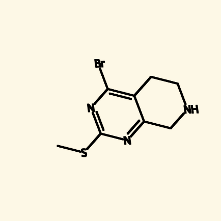 CSc1nc(Br)c2c(n1)CNCC2